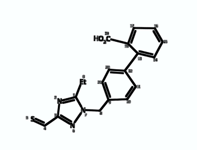 CCc1nc(C=S)nn1Cc1ccc(-c2ccccc2C(=O)O)cc1